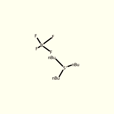 CCCC[S+](CCCC)CCCC.F[B-](F)(F)F